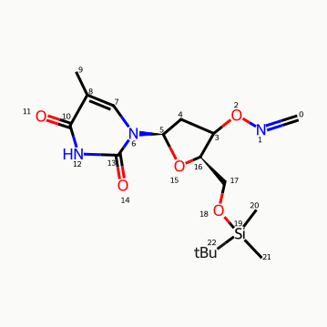 C=NOC1C[C@H](n2cc(C)c(=O)[nH]c2=O)O[C@@H]1CO[Si](C)(C)C(C)(C)C